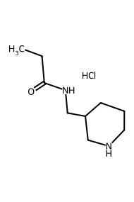 CCC(=O)NCC1CCCNC1.Cl